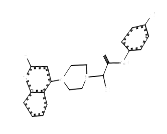 CCC(C(=O)Nc1ccc(Cl)cc1)N1CCN(c2cc(F)nc3ccccc23)CC1